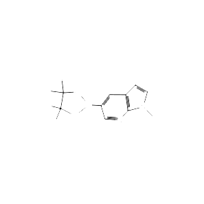 Cn1ccc2cc(B3OC(C)(C)C(C)(C)O3)cnc21